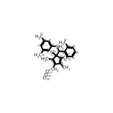 CC1=C(C)[C]([Ti+3])(C([SiH2]c2cc(C)cc(C)c2)c2ccccc2C)C(C)=C1C.[Cl-].[Cl-].[Cl-]